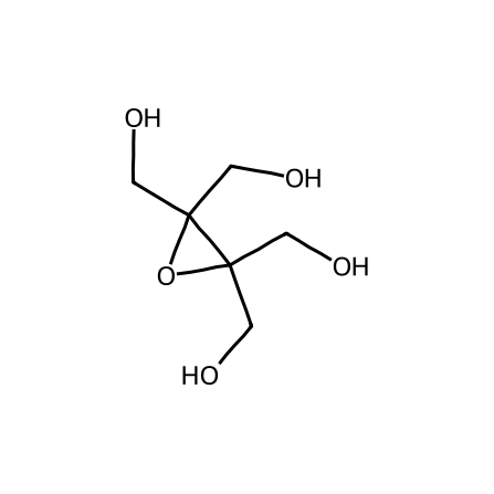 OCC1(CO)OC1(CO)CO